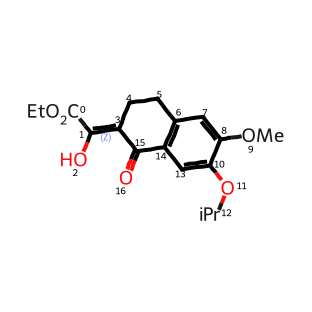 CCOC(=O)/C(O)=C1\CCc2cc(OC)c(OC(C)C)cc2C1=O